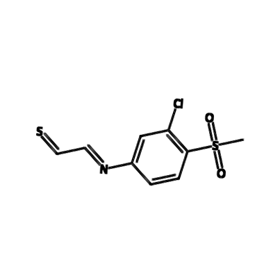 CS(=O)(=O)c1ccc(N=CC=S)cc1Cl